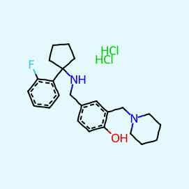 Cl.Cl.Oc1ccc(CNC2(c3ccccc3F)CCCC2)cc1CN1CCCCC1